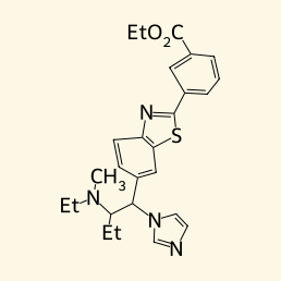 CCOC(=O)c1cccc(-c2nc3ccc(C(C(CC)N(C)CC)n4ccnc4)cc3s2)c1